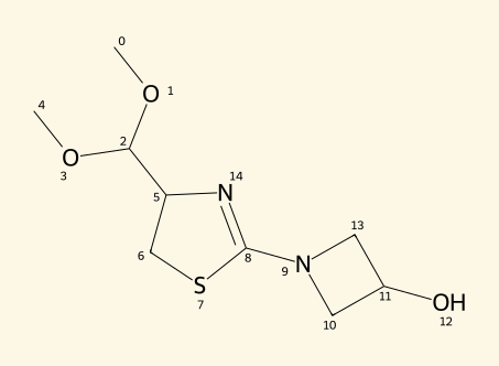 COC(OC)C1CSC(N2CC(O)C2)=N1